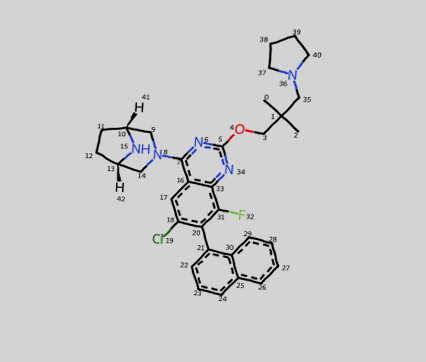 CC(C)(COc1nc(N2C[C@H]3CC[C@@H](C2)N3)c2cc(Cl)c(-c3cccc4ccccc34)c(F)c2n1)CN1CCCC1